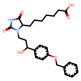 O=C(O)CCCCCCC1C(=O)NC(=O)N1CCC(O)c1ccc(OCc2ccccc2)cc1